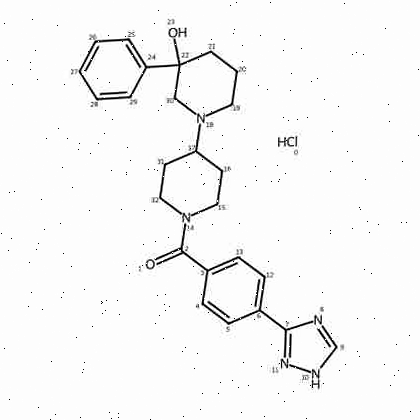 Cl.O=C(c1ccc(-c2nc[nH]n2)cc1)N1CCC(N2CCCC(O)(c3ccccc3)C2)CC1